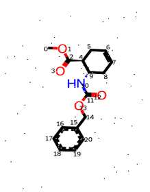 COC(=O)[C@H]1CC=CC[C@@H]1NC(=O)OCc1ccccc1